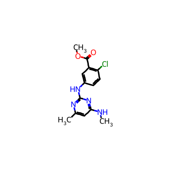 CNc1cc(C)nc(Nc2ccc(Cl)c(C(=O)OC)c2)n1